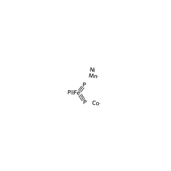 [Co].[Mn].[Ni].[P]#[Fe](#[P])#[P]